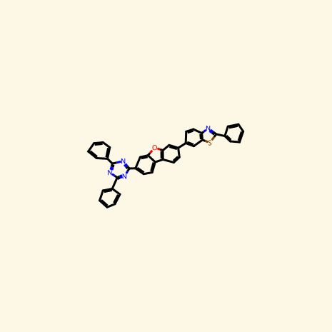 c1ccc(-c2nc(-c3ccccc3)nc(-c3ccc4c(c3)oc3cc(-c5ccc6nc(-c7ccccc7)sc6c5)ccc34)n2)cc1